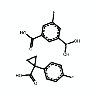 O=C(O)C1(c2ccc(F)cc2)CC1.O=C(O)c1cc(F)cc(B(O)O)c1